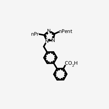 CCCCCc1nc(CCC)n(Cc2ccc(-c3ccccc3C(=O)O)cc2)n1